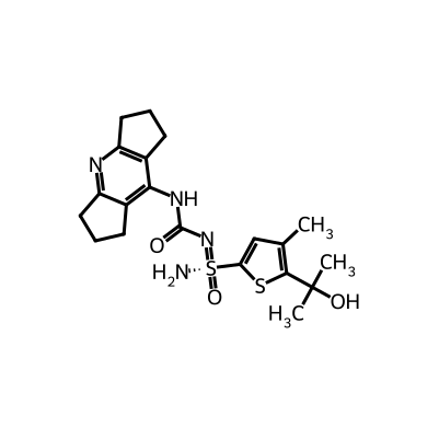 Cc1cc([S@@](N)(=O)=NC(=O)Nc2c3c(nc4c2CCC4)CCC3)sc1C(C)(C)O